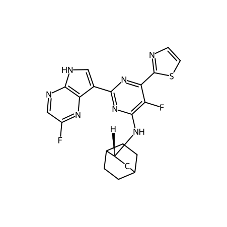 Fc1cnc2[nH]cc(-c3nc(N[C@@H]4CC5CCC4CC5)c(F)c(-c4nccs4)n3)c2n1